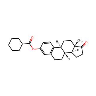 C[C@]12CC[C@@H]3c4ccc(OC(=O)C5CCCCC5)cc4CC[C@H]3[C@@H]1CCC2=O